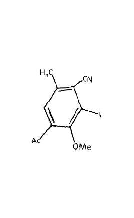 COc1c(C(C)=O)cc(C)c(C#N)c1I